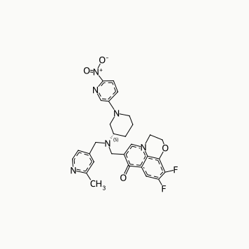 Cc1cc(CN(Cc2cn3c4c(c(F)c(F)cc4c2=O)OCC3)[C@H]2CCCN(c3ccc([N+](=O)[O-])nc3)C2)ccn1